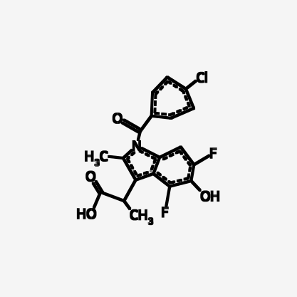 Cc1c(C(C)C(=O)O)c2c(F)c(O)c(F)cc2n1C(=O)c1ccc(Cl)cc1